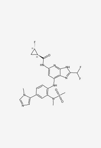 CN(c1cc(-c2cncn2C)ccc1Nc1cc(NC(=O)[C@H]2C[C@@H]2F)nc2[nH]c(C(F)F)nc12)S(C)(=O)=O